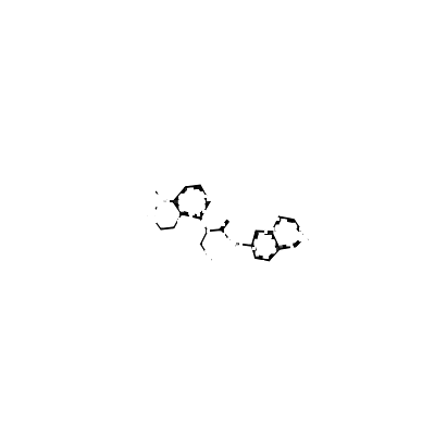 NCC(C(=O)Nc1ccc2cnccc2c1)c1cccc2c1CCOB2O